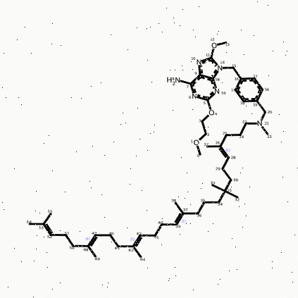 COCCOc1nc(N)c2nc(OC)n(Cc3ccc(CN(C)CCC/C(C)=C/CCC(C)(C)CCC/C(C)=C/CC/C=C(\C)CC/C=C(\C)CCC=C(C)C)cc3)c2n1